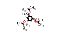 CC(C)O[SiH2]c1cc([SiH2]OC(C)C)cc([SiH2]OC(C)C)c1